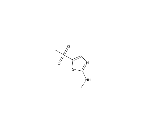 CNc1ncc(S(C)(=O)=O)s1